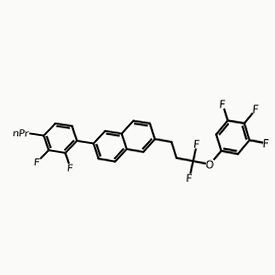 CCCc1ccc(-c2ccc3cc(CCC(F)(F)Oc4cc(F)c(F)c(F)c4)ccc3c2)c(F)c1F